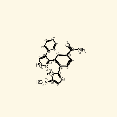 NC(=O)c1ccc(-c2ncc(S(=O)(=O)O)[nH]2)c(-c2n[nH]cc2-c2ccncc2)c1